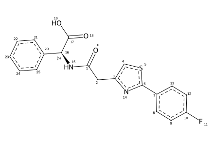 O=C(Cc1csc(-c2ccc(F)cc2)n1)N[C@H](C(=O)O)c1ccccc1